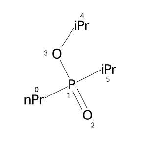 CCCP(=O)(OC(C)C)C(C)C